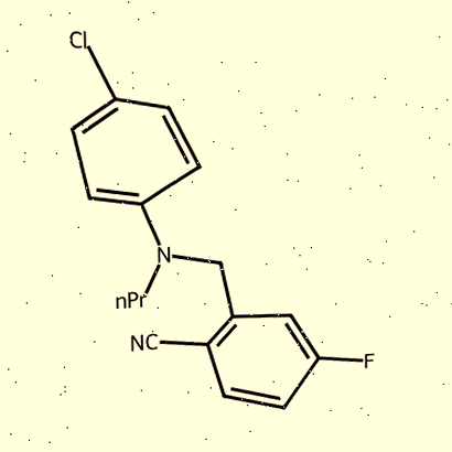 CCCN(Cc1cc(F)ccc1C#N)c1ccc(Cl)cc1